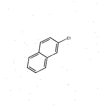 [CH]Cc1ccc2ccccc2c1